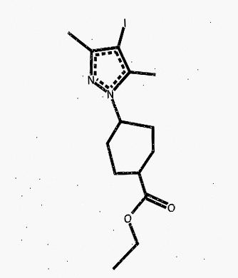 CCOC(=O)C1CCC(n2nc(C)c(I)c2C)CC1